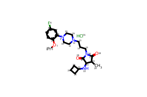 CC(C)Oc1ccc(F)cc1N1CCN(CCCN2C(=O)C(C)C(NC3CCC3)C2=O)CC1.Cl